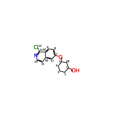 O[C@H]1CCC[C@@H](Oc2ccc3c(Cl)nccc3c2)C1